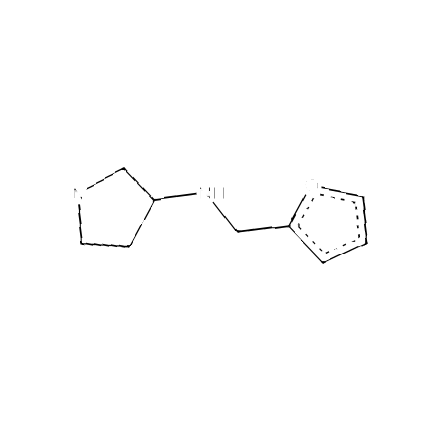 c1coc(CNC2CC[N]C2)c1